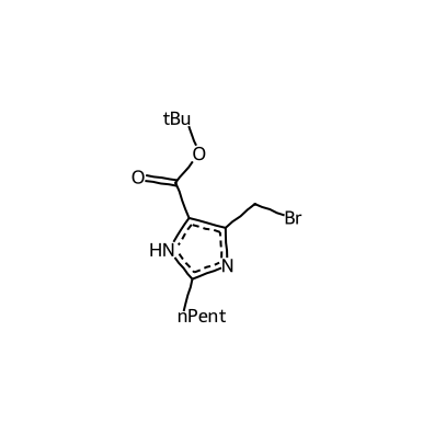 CCCCCc1nc(CBr)c(C(=O)OC(C)(C)C)[nH]1